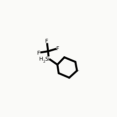 FC(F)(F)[SiH2]C1CC[CH]CC1